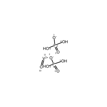 O=P([O-])(O)O.O=P([O-])(O)O.[O]=[V+2]